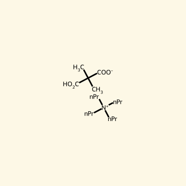 CC(C)(C(=O)[O-])C(=O)O.CCC[N+](CCC)(CCC)CCC